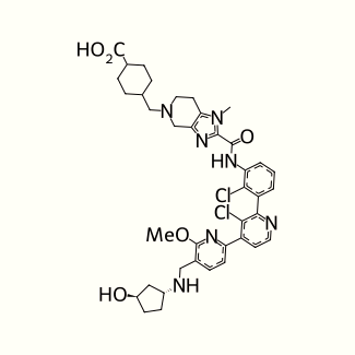 COc1nc(-c2ccnc(-c3cccc(NC(=O)c4nc5c(n4C)CCN(CC4CCC(C(=O)O)CC4)C5)c3Cl)c2Cl)ccc1CN[C@@H]1CC[C@@H](O)C1